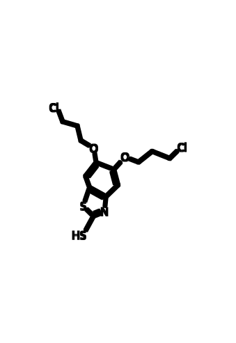 Sc1nc2cc(OCCCCl)c(OCCCCl)cc2s1